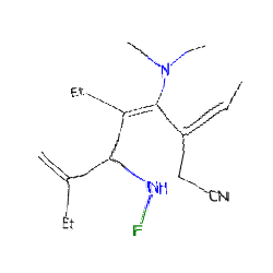 C=C(CC)C(NF)/C(CC)=C(\C(=C/C)CC#N)N(C)C